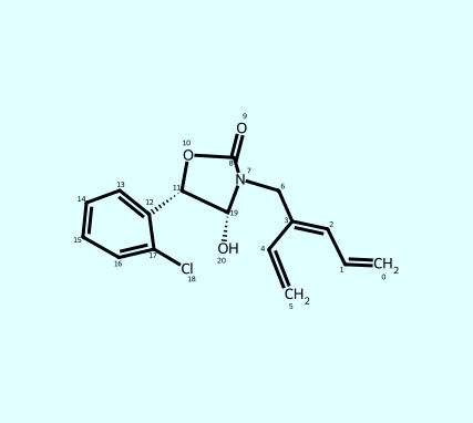 C=C/C=C(\C=C)CN1C(=O)O[C@@H](c2ccccc2Cl)[C@H]1O